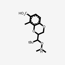 Cc1c(C(=O)O)ccc2c1OC(C(O[SiH](C)C)C(C)(C)C)CO2